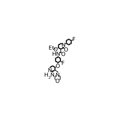 CCOc1ccn(-c2ccc(F)cc2)c(=O)c1C(=O)Nc1ccc(Oc2ccnc(N)c2CN2CCOCC2)c(F)c1